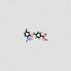 CNc1ccc(C)cc1OCc1ccc(C(=O)OC)cc1